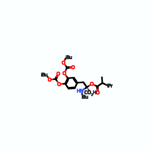 CCC(C)N[C@@](Cc1ccc(OC(=O)OC(C)CC)c(OC(=O)OC(C)CC)c1)(OC(=O)C(C)C(C)C)C(=O)O